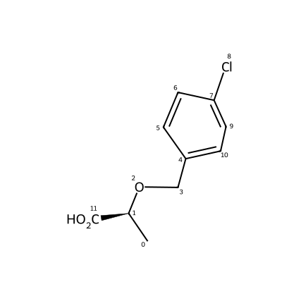 C[C@H](OCc1ccc(Cl)cc1)C(=O)O